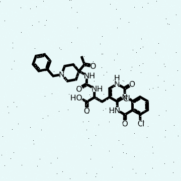 CC(=O)C1(NC(=O)NC(Cc2c[nH]c(=O)nc2NC(=O)c2c(Cl)cccc2Cl)C(=O)O)CCN(Cc2ccccc2)CC1